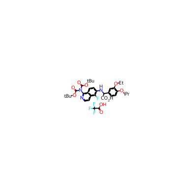 CCOc1cc(C(Nc2ccc3c(N(C(=O)OC(C)(C)C)C(=O)OC(C)(C)C)nccc3c2F)C(=O)O)ccc1OC(C)C.O=C(O)C(F)(F)F